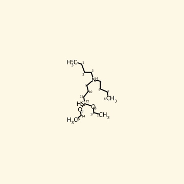 CCCCN(CCCC)CCC[SiH](OCC)OCC